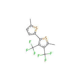 Cc1ccc(-c2sc(C)c(C(F)(F)F)c2C(F)(F)F)s1